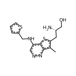 Cc1c(C[C@H](N)CO)sc2c(NCc3cccs3)cnnc12